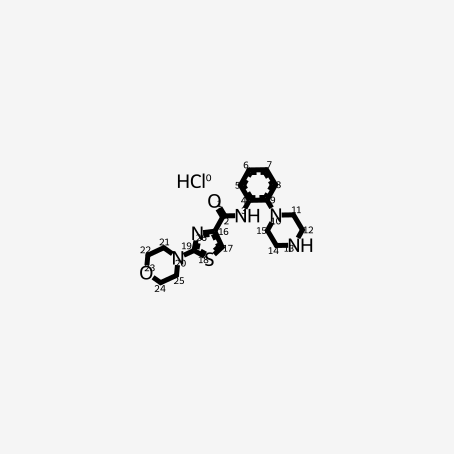 Cl.O=C(Nc1ccccc1N1CCNCC1)c1csc(N2CCOCC2)n1